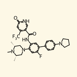 C[C@@H]1CN(c2cc(F)c(-c3ccc(N4CCCC4)cc3)cc2NC(=O)c2c[nH]c(=O)cc2C(F)(F)F)C[C@H](C)N1C